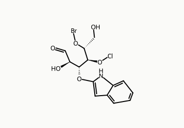 O=C[C@H](O)[C@@H](Oc1cc2ccccc2[nH]1)[C@H](OCl)[C@@H](CO)OBr